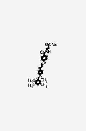 COC(=O)CCNC(=O)c1ccc(OCCCc2ccc(OCc3c(C)c(C)cc(C)c3C)cc2)cc1